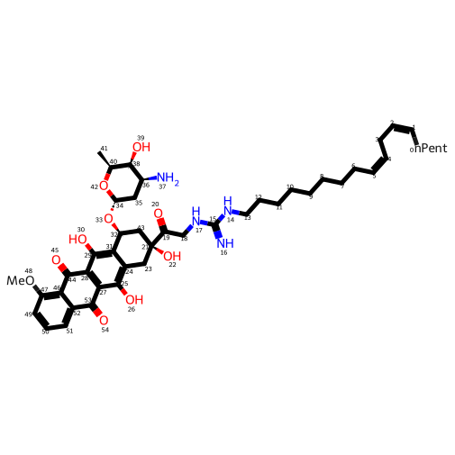 CCCCC/C=C\C/C=C\CCCCCCCCNC(=N)NCC(=O)[C@]1(O)Cc2c(O)c3c(c(O)c2[C@@H](O[C@H]2C[C@H](N)[C@H](O)[C@H](C)O2)C1)C(=O)c1c(OC)cccc1C3=O